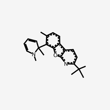 Cc1ccc2c(oc3nc(C(C)(C)C)ccc32)c1C1(C)C=CC=CN1C